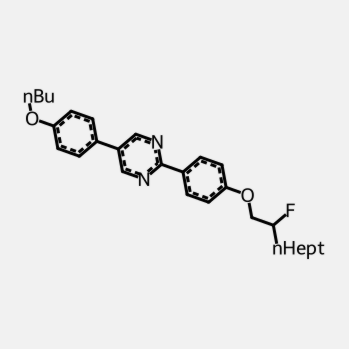 CCCCCCCC(F)COc1ccc(-c2ncc(-c3ccc(OCCCC)cc3)cn2)cc1